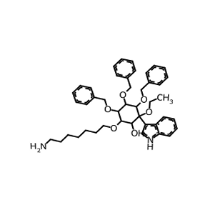 CCOC1(c2c[nH]c3ccccc23)C(O)C(OCCCCCCCN)C(OCc2ccccc2)C(OCc2ccccc2)C1OCc1ccccc1